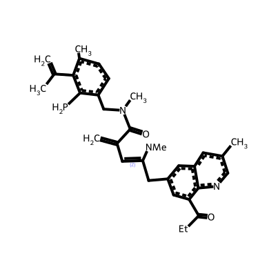 C=C(/C=C(/Cc1cc(C(=O)CC)c2ncc(C)cc2c1)NC)C(=O)N(C)Cc1ccc(C)c(C(=C)C)c1P